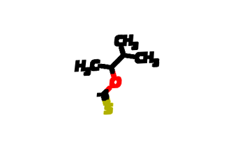 CC(C)C(C)O[C]=S